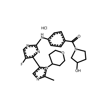 Cc1ncc(-c2nc(Nc3ccc(C(=O)N4CCC(O)C4)cc3)ncc2F)n1C1CCOCC1.Cl